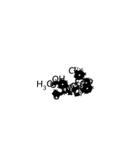 COC(O)c1ccc2nc(CN3CCN(c4cccc5c4O[C@@H](c4ccc(Cl)cc4F)CO5)C[C@@H]3C)n(C[C@@H]3CCO3)c2c1